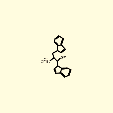 CCC(CC1C=Cc2ccccc21)[CH]([Zr+2])C1C=Cc2ccccc21.[Cl-].[Cl-]